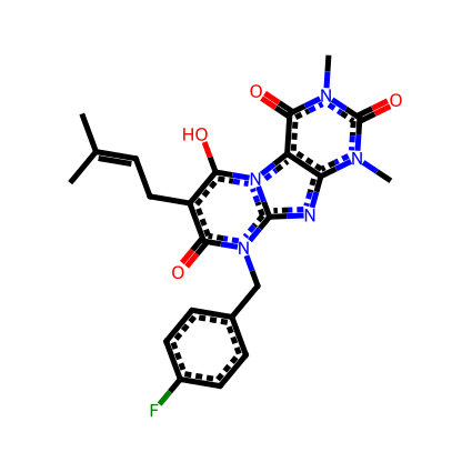 CC(C)=CCc1c(O)n2c3c(=O)n(C)c(=O)n(C)c3nc2n(Cc2ccc(F)cc2)c1=O